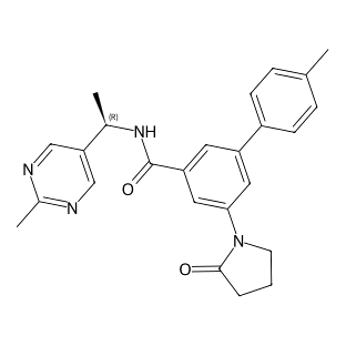 Cc1ccc(-c2cc(C(=O)N[C@H](C)c3cnc(C)nc3)cc(N3CCCC3=O)c2)cc1